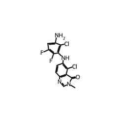 Cn1cnc2ccc(Nc3c(F)c(F)cc(N)c3Cl)c(Cl)c2c1=O